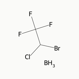 B.FC(F)(F)C(Cl)Br